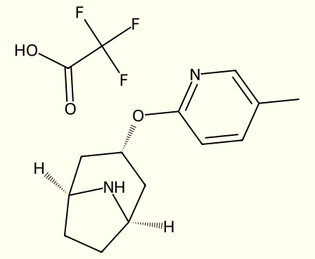 Cc1ccc(O[C@@H]2C[C@H]3CC[C@@H](C2)N3)nc1.O=C(O)C(F)(F)F